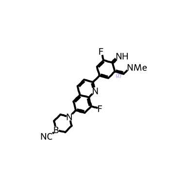 CN/C=C1/C=C(c2ccc3cc(N4CCB(C#N)CC4)cc(F)c3n2)C=C(F)C1=N